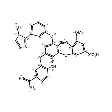 COc1cc(C(=O)O)cc(Oc2c(F)c(Oc3cccc(-c4nccn4C)c3)nc(Oc3cc(C(=N)N)ccc3O)c2F)c1OC